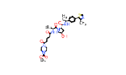 Cc1ncsc1-c1ccc([C@H](C)NC(=O)[C@@H]2C[C@@H](O)CN2C(=O)C(NC(=O)CCCC(=O)N2CCN(C(=O)OC(C)(C)C)CC2)C(C)(C)C)cc1